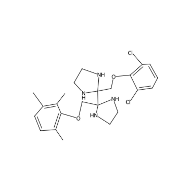 Cc1ccc(C)c(OCC2(C3(COc4c(Cl)cccc4Cl)NCCN3)NCCN2)c1C